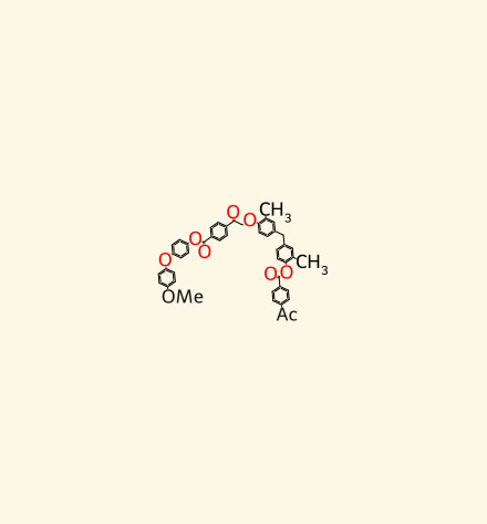 COc1ccc(Oc2ccc(OC(=O)c3ccc(C(=O)COc4ccc(Cc5ccc(OC(=O)c6ccc(C(C)=O)cc6)c(C)c5)cc4C)cc3)cc2)cc1